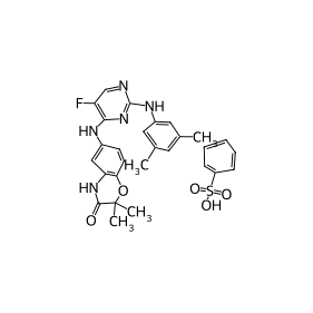 Cc1cc(C)cc(Nc2ncc(F)c(Nc3ccc4c(c3)NC(=O)C(C)(C)O4)n2)c1.O=S(=O)(O)c1ccccc1